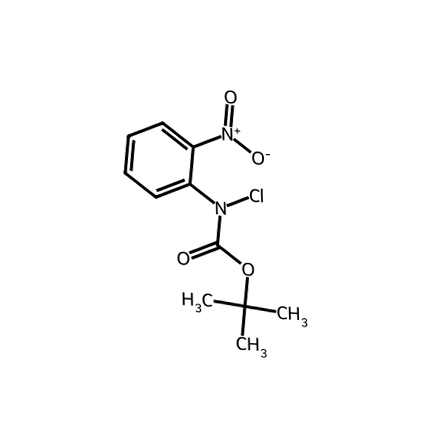 CC(C)(C)OC(=O)N(Cl)c1ccccc1[N+](=O)[O-]